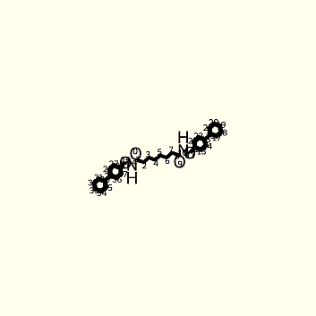 O=C(CCCCCCC(=O)NOc1ccc(-c2ccccc2)cc1)NOc1ccc(-c2ccccc2)cc1